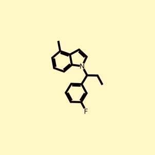 CCC(c1cccc(F)c1)n1ccc2c(C)cccc21